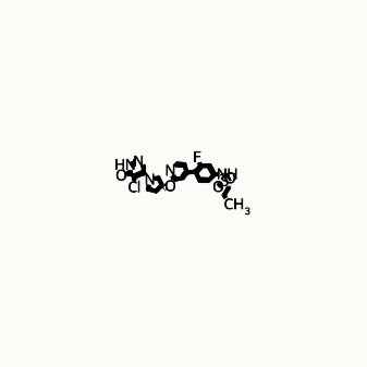 CCCS(=O)(=O)Nc1ccc(-c2ccnc(O[C@@H]3CCN(c4cn[nH]c(=O)c4Cl)C3)c2)c(F)c1